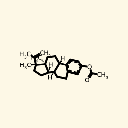 C=C(C)[C@@]1(C)CC[C@H]2[C@@H]3CCc4cc(OC(C)=O)ccc4[C@H]3CC[C@@]21C